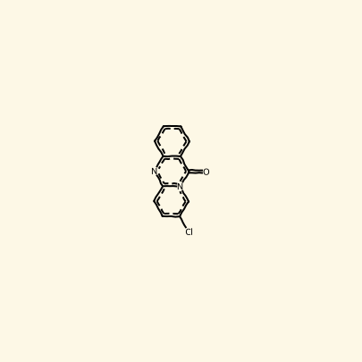 O=c1c2ccccc2nc2ccc(Cl)cn12